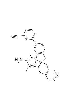 CN1OC2(N=C1N)c1cc(-c3cccc(C#N)c3)ccc1CC21CCCc2cnncc2C1